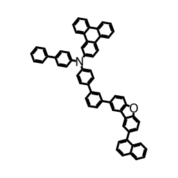 c1ccc(-c2ccc(N(c3ccc(-c4cccc(-c5ccc6oc7ccc(-c8cccc9ccccc89)cc7c6c5)c4)cc3)c3ccc4c5ccccc5c5ccccc5c4c3)cc2)cc1